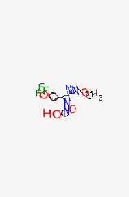 COCCn1cnc(C2CC(c3ccc(OC(F)(F)F)cc3)CN(C(=O)N3CCC(O)C3)C2)c1